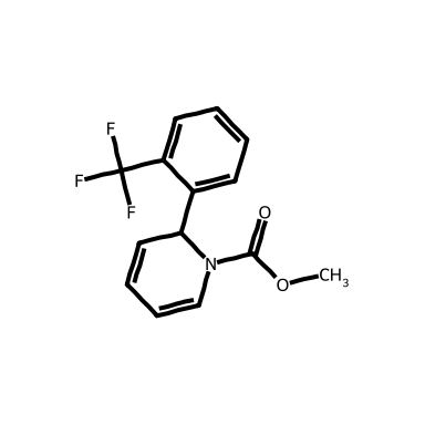 COC(=O)N1C=CC=CC1c1ccccc1C(F)(F)F